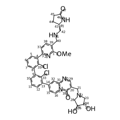 COc1nc(-c2cccc(-c3cccc(-c4ccn5c(=O)c(CN6C[C@H](O)[C@@H](O)C6)cnc5c4)c3Cl)c2Cl)ccc1CNC[C@H]1CCC(=O)N1